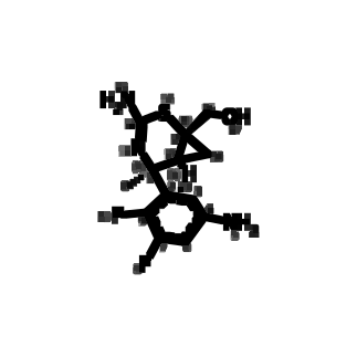 C[C@]1(c2cc(N)cc(F)c2F)N=C(N)S[C@]2(CO)C[C@H]21